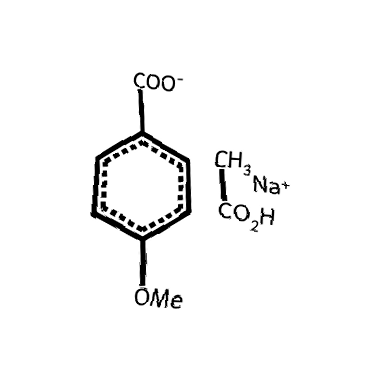 CC(=O)O.COc1ccc(C(=O)[O-])cc1.[Na+]